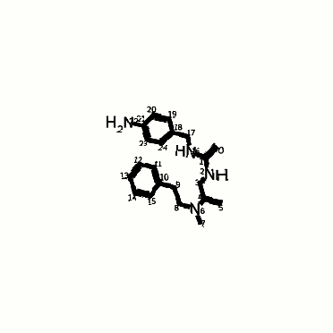 C=C(NCC(=C)N(C)CCc1ccccc1)NCc1ccc(N)cc1